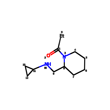 CCC(=O)N1CCCCC1CNC1CC1